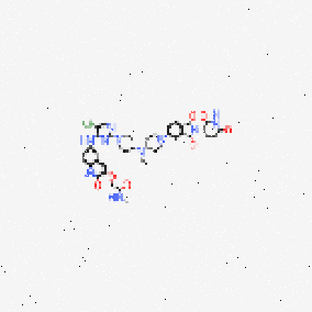 CCN(C1CCN(c2ccc3c(c2)C(=O)N(C2CCC(=O)NC2=O)C3=O)CC1)C1CCN(c2ncc(Cl)c(Nc3ccc4c(c3)cc(OCC(=O)NC)c(=O)n4C)n2)CC1